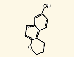 Oc1ccc2c3c(ccc2c1)OCCC3